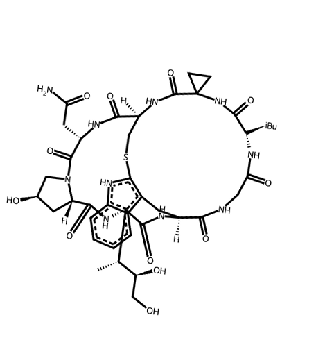 CC[C@H](C)[C@@H]1NC(=O)CNC(=O)[C@@H]2Cc3c([nH]c4ccccc34)SC[C@H](NC(=O)C3(CC3)NC1=O)C(=O)N[C@@H](CC(N)=O)C(=O)N1C[C@H](O)C[C@H]1C(=O)N[C@@H]([C@@H](C)[C@@H](O)CO)C(=O)N2